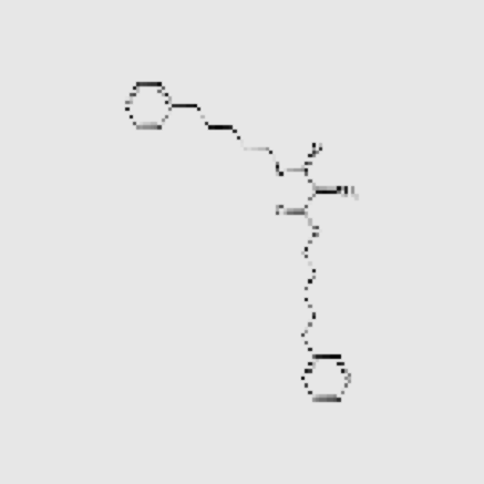 C=C(C(=O)OCCCCCc1ccccc1)C(=O)OCCCCCc1ccccc1